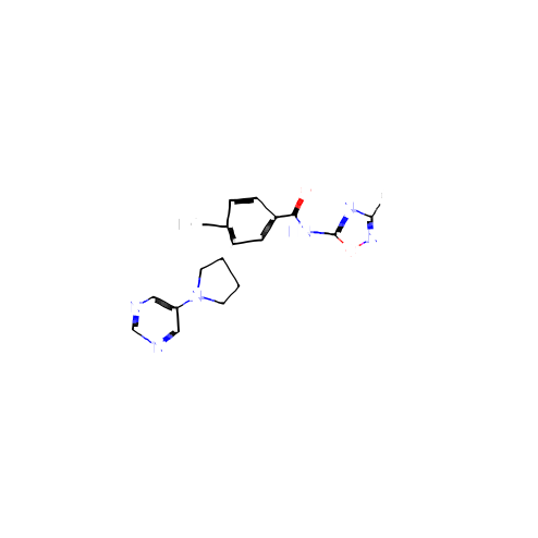 Cc1ccc(C(=O)Nc2nc(C(F)(F)F)no2)cc1[C@@H]1CCN(c2cncnc2)C1